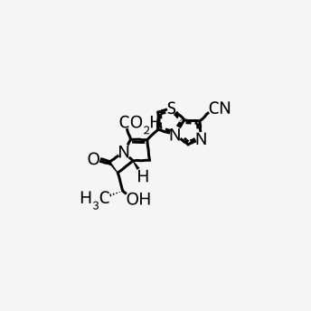 C[C@@H](O)[C@H]1C(=O)N2C(C(=O)O)=C(c3csc4c(C#N)ncn34)C[C@H]12